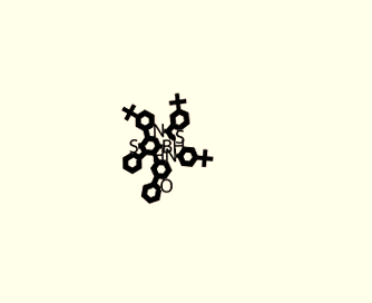 CC(C)(C)c1ccc(Nc2cc3oc4ccccc4c3cc2-c2c3c4c(c5cc(C(C)(C)C)ccc5n4-c4c(sc5ccc(C(C)(C)C)cc45)B3)c3sc4ccccc4c23)cc1